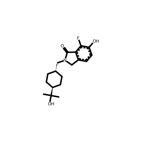 CC(C)(O)[C@H]1CC[C@H](CN2Cc3ccc(O)c(F)c3C2=O)CC1